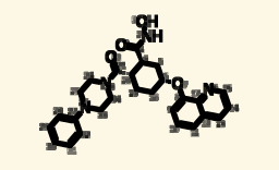 O=C(NO)[C@H]1C[C@H](Oc2cccc3cccnc23)CC[C@@H]1C(=O)N1CCN(c2ccccc2)CC1